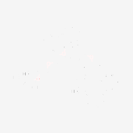 CCC(CC)C1(c2ccc(Oc3ccc(C4(OCCOCCOC(C)(C)CC)c5ccccc5-c5ccccc54)cc3)cc2)c2ccccc2-c2ccccc21